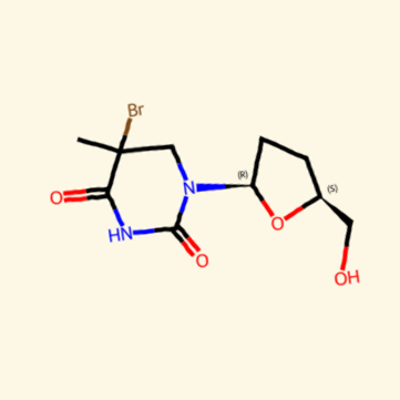 CC1(Br)CN([C@H]2CC[C@@H](CO)O2)C(=O)NC1=O